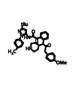 COc1ccc(CC(=O)C(c2ccccc2NC(=O)Nc2cc(C(C)(C)C)nn2-c2ccc(C)cc2)C2CCNCC2)cc1